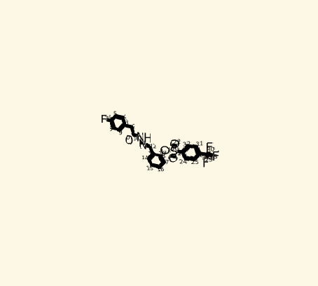 O=C(Cc1ccc(F)cc1)NN=Cc1ccccc1OS(=O)(=O)c1ccc(C(F)(F)F)cc1